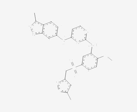 COc1ccc(S(=O)(=O)Cc2cc(C)on2)cc1Nc1nccc(Nc2ccc3c(C)n[nH]c3c2)n1